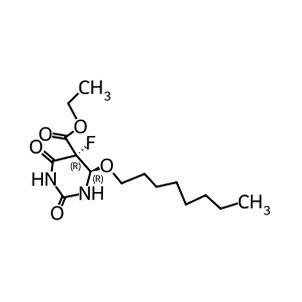 CCCCCCCCO[C@H]1NC(=O)NC(=O)[C@@]1(F)C(=O)OCC